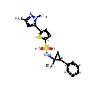 Cn1nc(C(F)(F)F)cc1-c1ccc(S(=O)(=O)NC2(C(=O)O)CC2c2ccccc2)s1